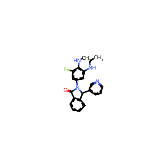 CCNc1cc(N2C(=O)c3ccccc3C2c2cccnc2)cc(F)c1NC